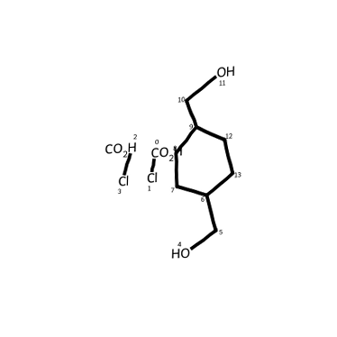 O=C(O)Cl.O=C(O)Cl.OCC1CCC(CO)CC1